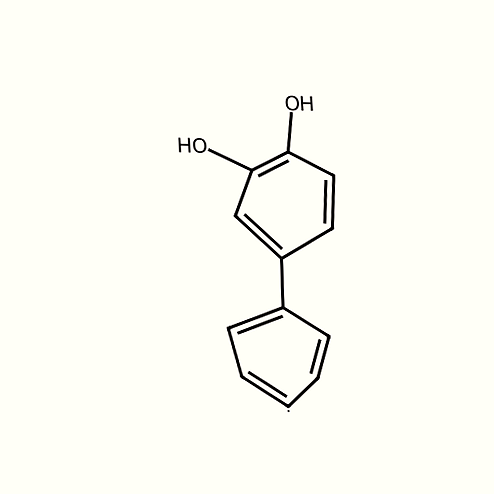 Oc1ccc(-c2cc[c]cc2)cc1O